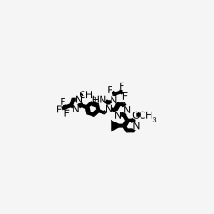 COc1nccc(C2CC2)c1-c1ncc2c(n1)n(Cc1ccc(-c3nc(C(F)(F)F)cn3C)cc1)c(=N)n2C(F)C(F)F